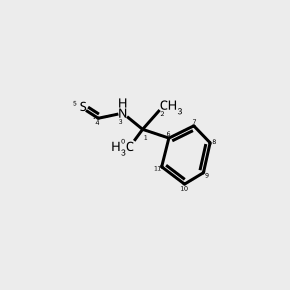 CC(C)(N[C]=S)c1ccccc1